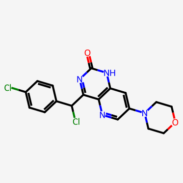 O=c1nc(C(Cl)c2ccc(Cl)cc2)c2ncc(N3CCOCC3)cc2[nH]1